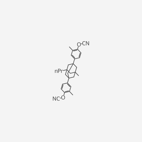 CCCC12CC3(C)CC(c4ccc(OC#N)c(C)c4)(C1)CC(c1ccc(OC#N)c(C)c1)(C3)C2